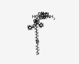 CCCCCCCCCOCCCCCCCCCC[C@H](COP(=O)(OCc1ccccc1)OC[C@H]1O[C@@](C#N)(c2ccc3c(N)ncnn23)C(O)[C@H]1O)OCc1ccccc1